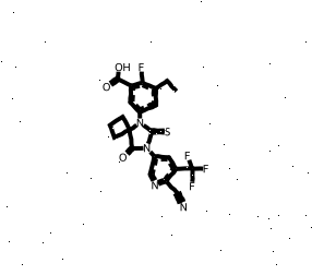 CCc1cc(N2C(=S)N(c3cnc(C#N)c(C(F)(F)F)c3)C(=O)C23CCC3)cc(C(=O)O)c1F